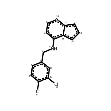 Clc1ccc(CNc2ccsc3cccc2-3)cc1Cl